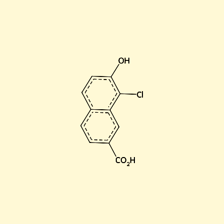 O=C(O)c1ccc2ccc(O)c(Cl)c2c1